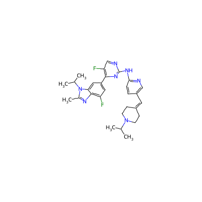 Cc1nc2c(F)cc(-c3nc(Nc4ccc(C=C5CCN(C(C)C)CC5)cn4)ncc3F)cc2n1C(C)C